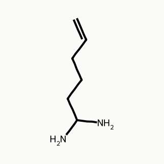 C=CCCCC(N)N